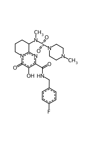 CN1CCN(S(=O)(=O)N(C)C2CCCn3c2nc(C(=O)NCc2ccc(F)cc2)c(O)c3=O)CC1